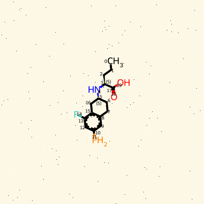 CCC[C@H](N[C@H]1CCc2cc(P)cc(F)c2C1)C(=O)O